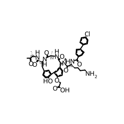 CC(=O)[C@H](C)NC(=O)[C@@H]1Cc2ccc(O)c(c2)-c2cc(ccc2OCC(=O)O)[C@H](N(C)C(=O)[C@H](CCCCN)NC(=O)c2ccc(-c3ccc(Cl)cc3)cc2)C(=O)N[C@@H](C)C(=O)N1